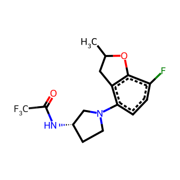 CC1Cc2c(N3CC[C@H](NC(=O)C(F)(F)F)C3)ccc(F)c2O1